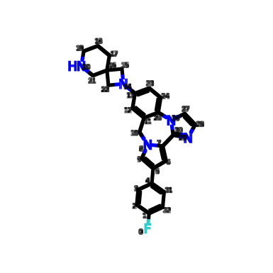 Fc1ccc(-c2cc3n(c2)Cc2cc(N4CC5(CCCNC5)C4)ccc2-n2ccnc2-3)cc1